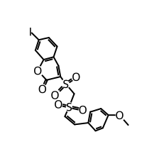 COc1ccc(/C=C\S(=O)(=O)CS(=O)(=O)c2cc3ccc(I)cc3oc2=O)cc1